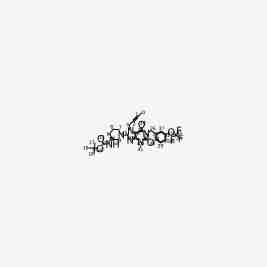 CC#CCn1c(N2CCC[C@@H](NC(=O)OC(C)(C)C)C2)nc2c1c(=O)n(Cc1cccc(OC(F)(F)F)c1)c(=O)n2C